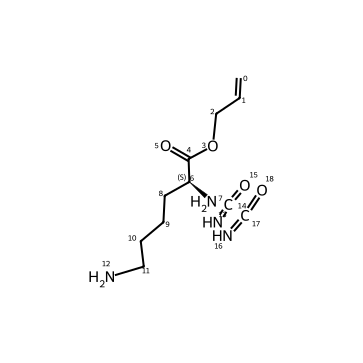 C=CCOC(=O)[C@@H](N)CCCCN.N=C=O.N=C=O